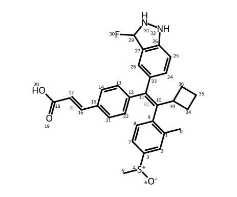 Cc1cc([S+](C)[O-])ccc1/C(=C(\c1ccc(/C=C/C(=O)O)cc1)c1ccc2c(c1)C(F)NN2)C1CCC1